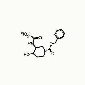 CCOC(=O)C(=O)NC1CN(C(=O)OCc2ccccc2)CCC1O